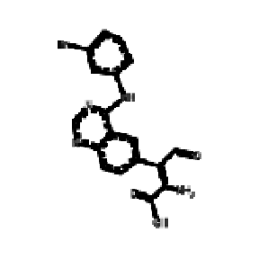 N/C(C(=O)O)=C(\C=O)c1ccc2ncnc(Nc3cccc(Br)c3)c2c1